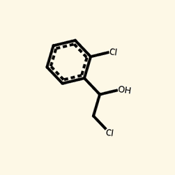 OC(CCl)c1ccccc1Cl